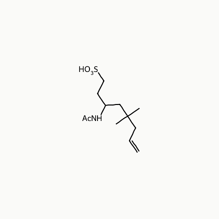 C=CCC(C)(C)CC(CCS(=O)(=O)O)NC(C)=O